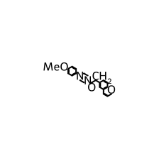 C=C(C(=O)N1CCN(c2ccc(OC)cc2)CC1)c1ccc2c(c1)C=CCO2